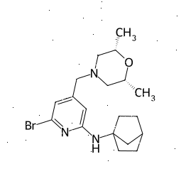 C[C@@H]1CN(Cc2cc(Br)nc(NC34CCC(CC3)C4)c2)C[C@H](C)O1